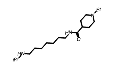 CCN1CCC(C(=O)NCCCCCCCNC(C)C)CC1